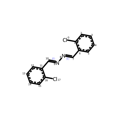 Clc1ccccc1/C=N/N=C/c1ccccc1Cl